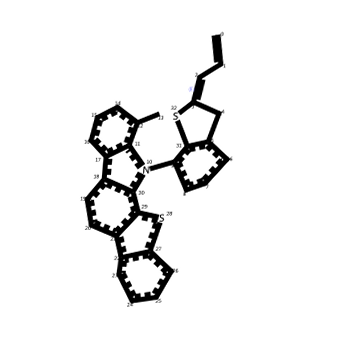 C=C/C=C1\Cc2cccc(-n3c4c(C)cccc4c4ccc5c6ccccc6sc5c43)c2S1